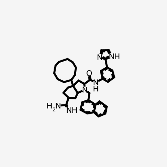 N=C(N)C1CCC2(C3CCCCCCCCC3)CC(C(=O)Nc3cccc(-c4ncc[nH]4)c3)N(Cc3cccc4ccccc34)C2C1